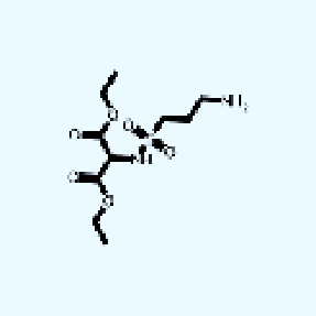 CCOC(=O)C(NS(=O)(=O)CCCN)C(=O)OCC